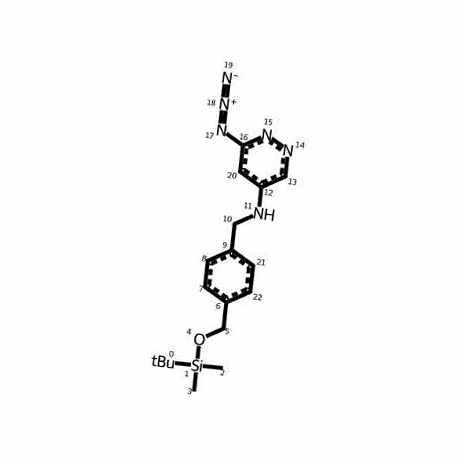 CC(C)(C)[Si](C)(C)OCc1ccc(CNc2cnnc(N=[N+]=[N-])c2)cc1